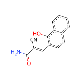 N#CC(=Cc1ccc2ccccc2c1O)C(N)=O